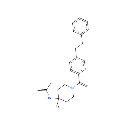 C=C(C)NC1(CC)CCN(C(=C)c2ccc(CCc3ccccc3)cc2)CC1